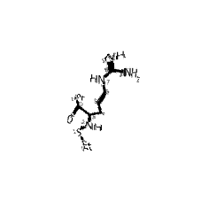 CCSNC(CCCNC(=N)N)C(=O)C(C)C